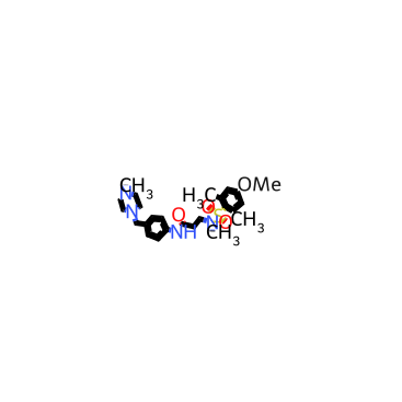 COc1cc(C)c(S(=O)(=O)N(C)CCC(=O)Nc2ccc(CN3CCN(C)CC3)cc2)c(C)c1